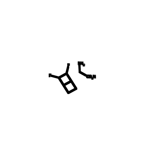 FC1C(F)C2CCC12.NCC(=O)O